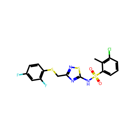 Cc1c(Cl)cccc1S(=O)(=O)Nc1nc(CSc2ccc(F)cc2F)ns1